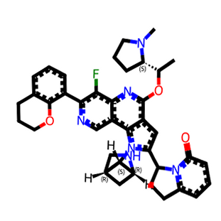 CC(Oc1nc2c(F)c(-c3cccc4c3OCCC4)ncc2c2c1cc(C1CCc3cccc(=O)n31)n2[C@H]1[C@H]2CN[C@@H]1C2)[C@@H]1CCCN1C